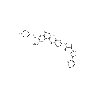 COc1cc2c(Oc3ccc(NC(=O)C(=O)N4CCC(c5ccccc5)C4)cc3F)ccnc2cc1CCC1CCNCC1